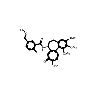 COc1cc2c(c(OC)c1OC)-c1ccc(SC)c(=O)cc1[C@@H](NC(=O)c1cc(CO[N+](=O)[O-])ccc1I)CC2